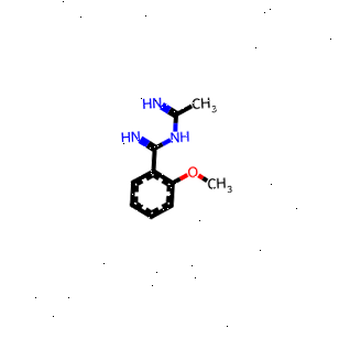 COc1ccccc1C(=N)NC(C)=N